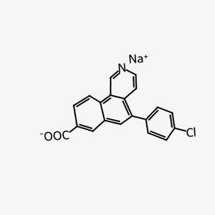 O=C([O-])c1ccc2c(c1)cc(-c1ccc(Cl)cc1)c1ccncc12.[Na+]